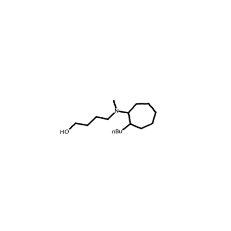 CCCCC1CCCCCC1N(C)CCCCO